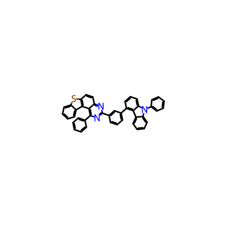 c1ccc(-c2nc(-c3cccc(-c4cccc5c4c4ccccc4n5-c4ccccc4)c3)nc3ccc4sc5ccccc5c4c23)cc1